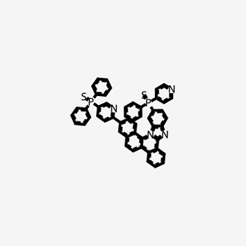 S=P(c1ccccc1)(c1ccccc1)c1ccc(-c2ccc3c(ccc4c5ccccc5c5nc6ccc(P(=S)(c7ccccc7)c7ccncc7)cc6n5c34)c2)nc1